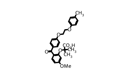 COc1ccc(C(=O)c2ccc(OCCOc3ccc(C)cc3)cc2)c(OC(C)(C)C(=O)O)c1